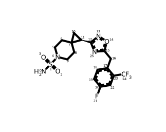 NS(=O)(=O)N1CCC2(CC1)C[C@H]2c1noc(Cc2ccc(F)cc2C(F)(F)F)n1